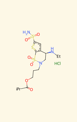 CCN[C@H]1CN(CCCOC(=O)C(C)C)S(=O)(=O)c2sc(S(N)(=O)=O)cc21.Cl